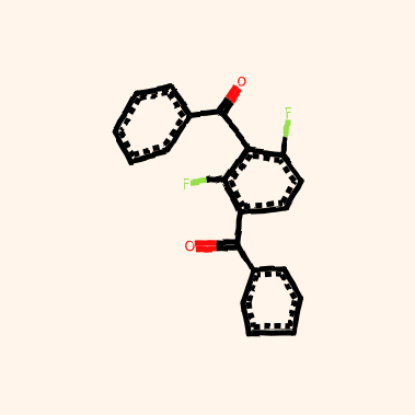 O=C(c1ccccc1)c1ccc(F)c(C(=O)c2ccccc2)c1F